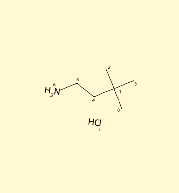 CC(C)(C)CCN.Cl